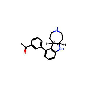 CC(=O)c1cccc(-c2cccc3c2[C@@H]2CCNCC[C@@H]2N3)c1